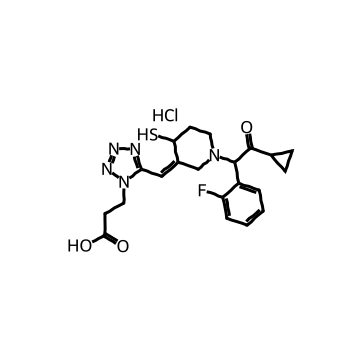 Cl.O=C(O)CCn1nnnc1/C=C1/CN(C(C(=O)C2CC2)c2ccccc2F)CCC1S